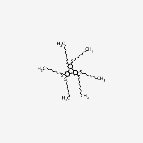 CCCCCCCCSc1cc2c3cc(SCCCCCCCC)c(SCCCCCCCC)cc3c3cc(SCCCCCCCC)c(SCCCCCCCC)cc3c2cc1SCCCCCCCC